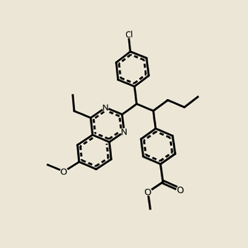 CCCC(c1ccc(C(=O)OC)cc1)C(c1ccc(Cl)cc1)c1nc(CC)c2cc(OC)ccc2n1